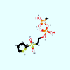 CP(=O)(O)OP(=O)(O)OCCS(=O)(=O)c1cccs1